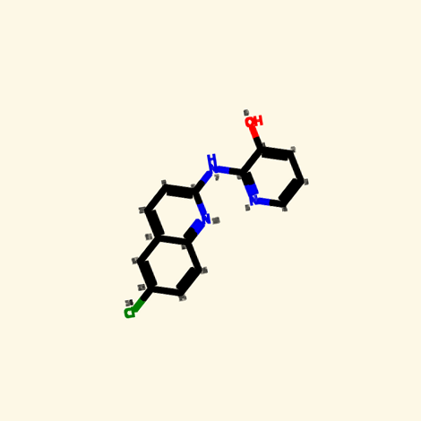 Oc1cccnc1Nc1ccc2cc(Cl)ccc2n1